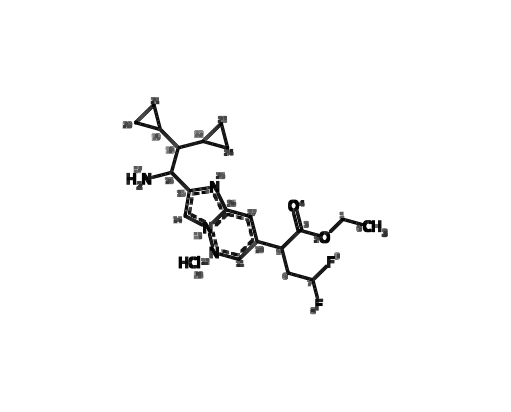 CCOC(=O)C(CC(F)F)c1cnn2cc(C(N)C(C3CC3)C3CC3)nc2c1.Cl